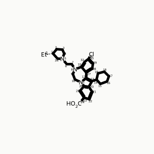 CC[C@@H]1CCCN(CCN2CCn3c(c(C4CCCCC4)c4ccc(C(=O)O)cc43)-c3ccc(Cl)cc32)C1